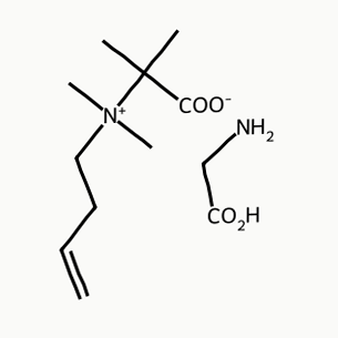 C=CCC[N+](C)(C)C(C)(C)C(=O)[O-].NCC(=O)O